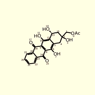 CC(=O)OCC1(O)Cc2c(O)c3c(c(O)c2[C@@H](O)C1)C(=O)c1ccccc1C3=O